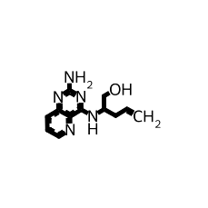 C=CCC(CO)Nc1nc(N)nc2cccnc12